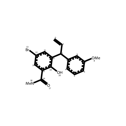 C=CC(c1cccc(OC)c1)c1cc(Br)cc(C(=O)NC)c1O